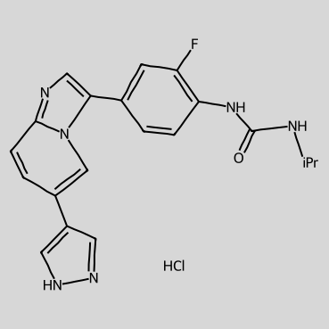 CC(C)NC(=O)Nc1ccc(-c2cnc3ccc(-c4cn[nH]c4)cn23)cc1F.Cl